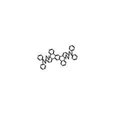 c1ccc(N(c2ccccc2)c2ccc3c4cc5c6ccccc6c6nc(N(c7ccccc7)c7ccccc7)ccc6c5cc4c4ccccc4c3n2)cc1